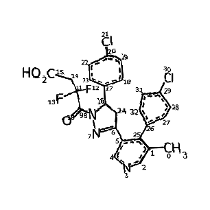 Cc1cncc(C2=NN(C(=O)C(F)(F)CC(=O)O)C(c3ccc(Cl)cc3)C2)c1-c1ccc(Cl)cc1